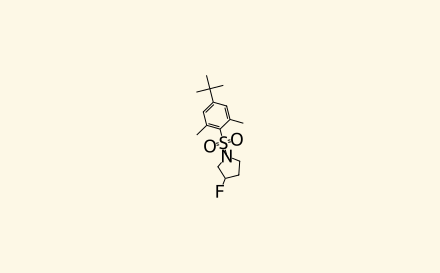 Cc1cc(C(C)(C)C)cc(C)c1S(=O)(=O)N1CCC(F)C1